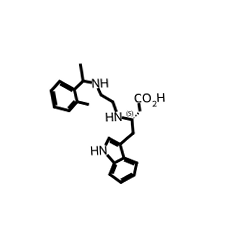 Cc1ccccc1C(C)NCCN[C@H](CC(=O)O)Cc1c[nH]c2ccccc12